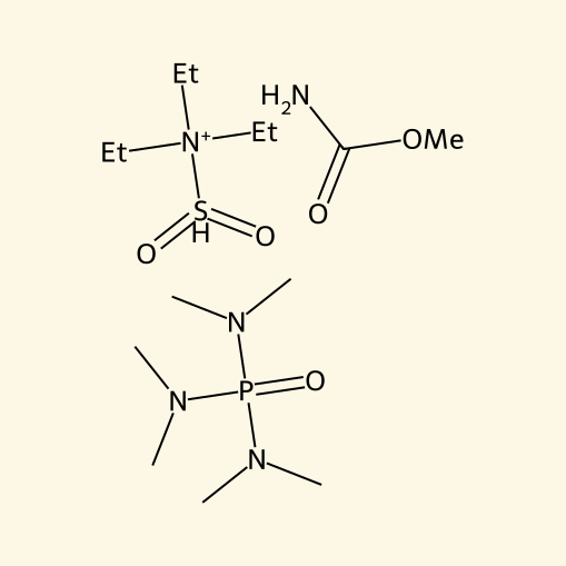 CC[N+](CC)(CC)[SH](=O)=O.CN(C)P(=O)(N(C)C)N(C)C.COC(N)=O